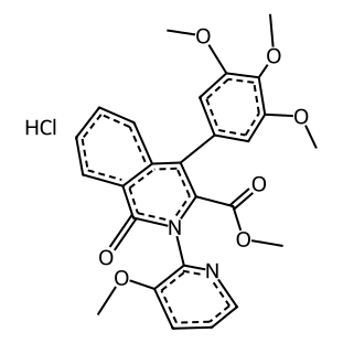 COC(=O)c1c(-c2cc(OC)c(OC)c(OC)c2)c2ccccc2c(=O)n1-c1ncccc1OC.Cl